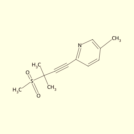 Cc1ccc(C#CC(C)(C)S(C)(=O)=O)nc1